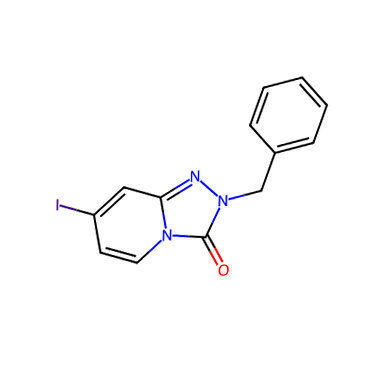 O=c1n(Cc2ccccc2)nc2cc(I)ccn12